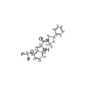 CC1(C)CC(c2ccccc2)CN1C(=O)c1cc2c(OC(F)F)cccc2[nH]1